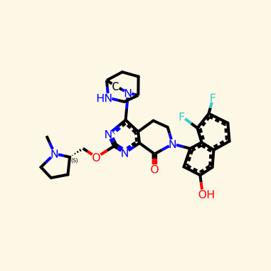 CN1CCC[C@H]1COc1nc2c(c(N3CC4CCC3CN4)n1)CCN(c1cc(O)cc3ccc(F)c(F)c13)C2=O